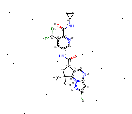 CC1(C)C[C@@H](C(=O)Nc2cnc(C(=O)NC3CC3)c(C(F)F)c2)c2cnc3cc(Cl)nn3c21